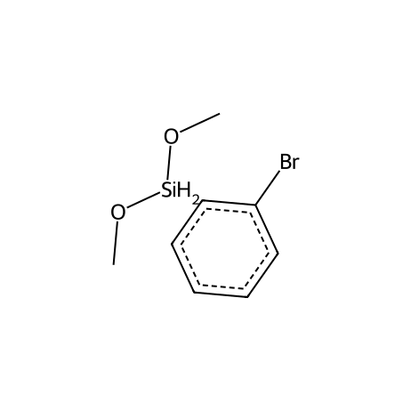 Brc1ccccc1.CO[SiH2]OC